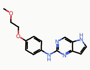 COCCOc1ccc(Nc2ncc3[nH]ccc3n2)cc1